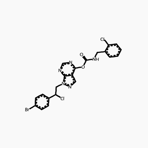 O=C(NCc1ccccc1Cl)Oc1ncnc2c1cnn2CC(Cl)c1ccc(Br)cc1